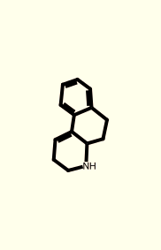 C1=C2c3ccccc3CCC2NCC1